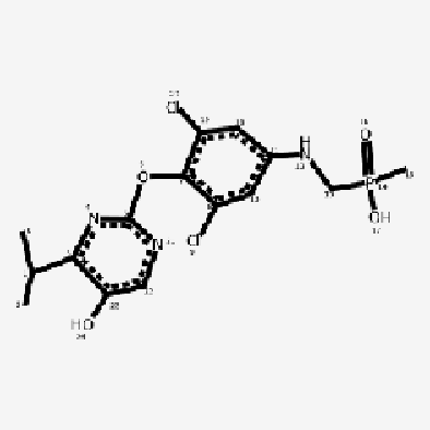 CC(C)c1nc(Oc2c(Cl)cc(NCP(C)(=O)O)cc2Cl)ncc1O